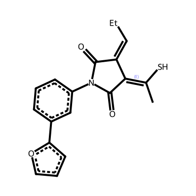 CCC=C1C(=O)N(c2cccc(-c3ccco3)c2)C(=O)/C1=C(\C)S